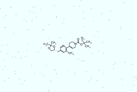 Cc1cc(C[C@@H]2COC(C)(C)O2)cnc1C1=CCN(C(=O)OC(C)(C)C)CC1